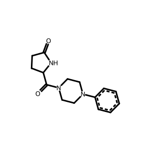 O=C1CCC(C(=O)N2CCN(c3ccccc3)CC2)N1